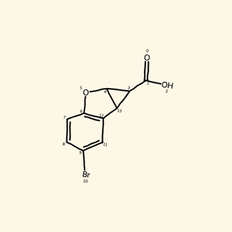 O=C(O)C1C2Oc3ccc(Br)cc3C21